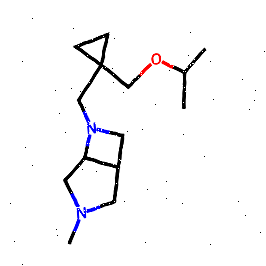 CC(C)OCC1(CN2CC3CN(C)CC32)CC1